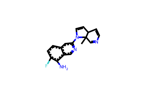 CC12C=NC=CC1C=CN2c1cc2ccc(F)c(N)c2cn1